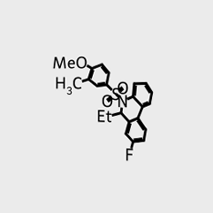 CCC1c2cc(F)ccc2-c2ccccc2N1S(=O)(=O)c1ccc(OC)c(C)c1